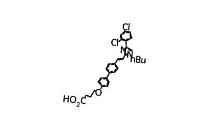 CCCCn1cc(-c2ccc(Cl)cc2Cl)nc1C=Cc1ccc(-c2ccc(OCCCC(=O)O)cc2)cc1